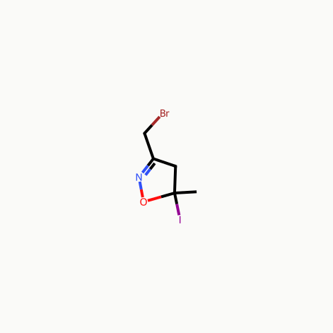 CC1(I)CC(CBr)=NO1